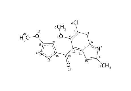 COC1=C(Cl)CC2=NC(C)=[C]C2=C1C(=O)c1csc(OC)c1